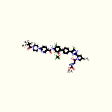 COC(=O)NCC(=O)N1CC(C)CC1c1nc(-c2ccc(-c3cc(Cl)c(NC(=O)c4ccc(N5CCN(C(=O)C(C)(C)C)CC5)nc4)cc3OC(F)(F)F)cc2)c(F)[nH]1